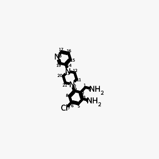 NCc1c(N)cc(Cl)cc1N1CCN(c2cccnc2)CC1